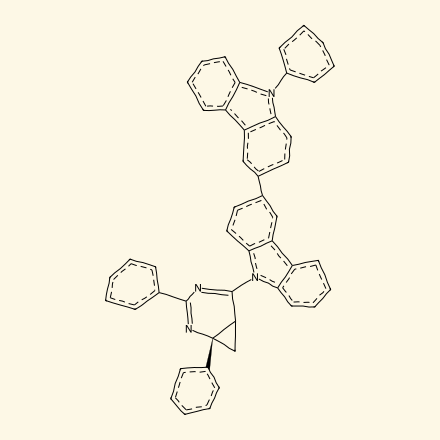 c1ccc(C2=N[C@@]3(c4ccccc4)CC3C(n3c4ccccc4c4cc(-c5ccc6c(c5)c5ccccc5n6-c5ccccc5)ccc43)=N2)cc1